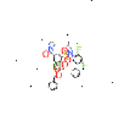 C=CCN(c1cc(-c2ccccc2)c(F)cc1F)S(=O)(=O)c1cc(C(=O)N2CCC2)cc(Cl)c1OCC(=O)OCc1ccccc1